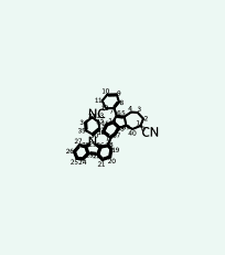 N#CC1CCCC2=C(C3=CC=CCC3C#N)c3ccc(-c4cccc5c6ccccc6n(C6=CCCC=C6)c45)cc3C2C1